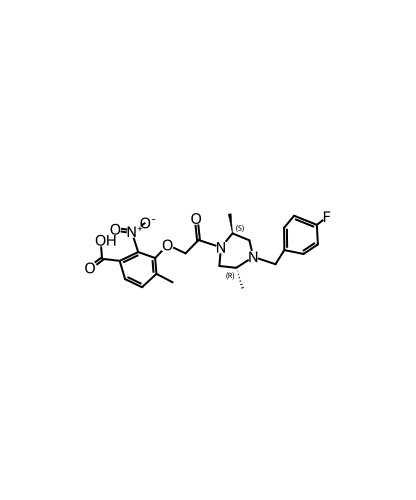 Cc1ccc(C(=O)O)c([N+](=O)[O-])c1OCC(=O)N1C[C@@H](C)N(Cc2ccc(F)cc2)C[C@@H]1C